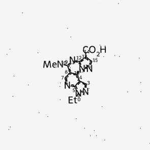 CCn1ncc2c1ncc1c(NC)nc3c(C(=O)O)cnn3c12